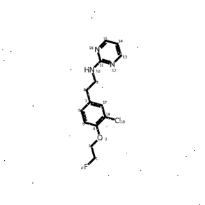 FCCOc1ccc(CCNc2ncccn2)cc1Cl